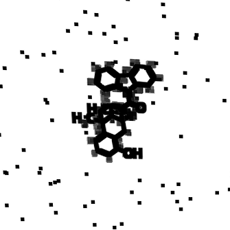 CC1(C)[C@H]2Cc3c(O)cccc3[C@]1(C)CCN2C(=O)n1c2ccccc2c2ccccc21